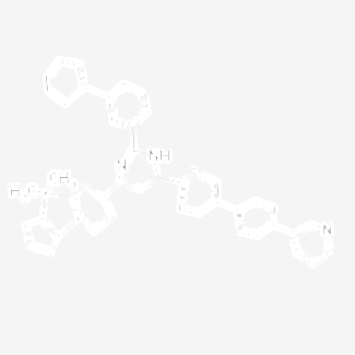 CC1(C)C2=C(C=C=C2)c2ccc(C3=CC(c4ccc(-c5ccc(-c6cccnc6)cc5)cc4)NC(c4cccc(C5=C=C=CC=C5)c4)=N3)cc21